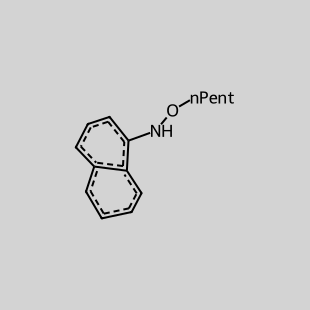 CCCCCONc1cccc2ccccc12